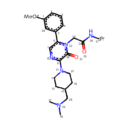 COc1cccc(-c2cnc(N3CCC(CN(C)C)CC3)c(=O)n2CC(=O)NC(C)C)c1